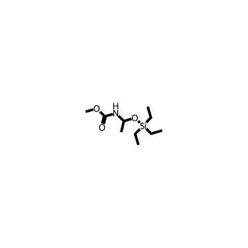 CC[Si](CC)(CC)OC(C)NC(=O)OC